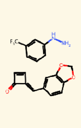 NNc1cccc(C(F)(F)F)c1.O=C1C=CC1=Cc1ccc2c(c1)OCO2